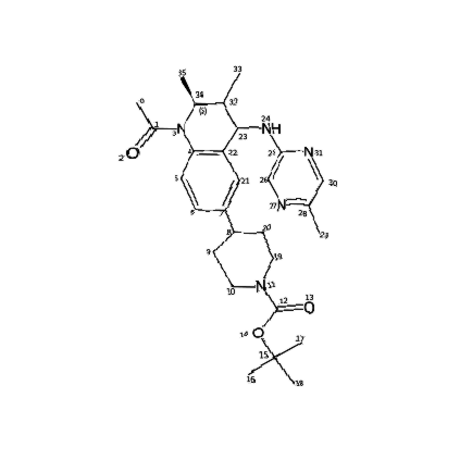 CC(=O)N1c2ccc(C3CCN(C(=O)OC(C)(C)C)CC3)cc2C(Nc2cnc(C)cn2)C(C)[C@@H]1C